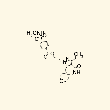 CCc1nn(CCCOC(=O)c2ccc(S(=O)(=O)NC)cc2)c2c1C(=O)NCC1(CCOCC1)C2